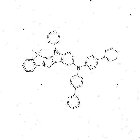 CC1(C)c2ccccc2-n2cc3c4cc(N(c5ccc(C6=CCCC=C6)cc5)c5ccc(-c6ccccc6)cc5)ccc4n(-c4ccccc4)c3c21